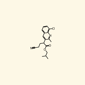 Cc1nc2c(Cl)cccc2cc1C(CCC#N)C(=O)OCC(C)C